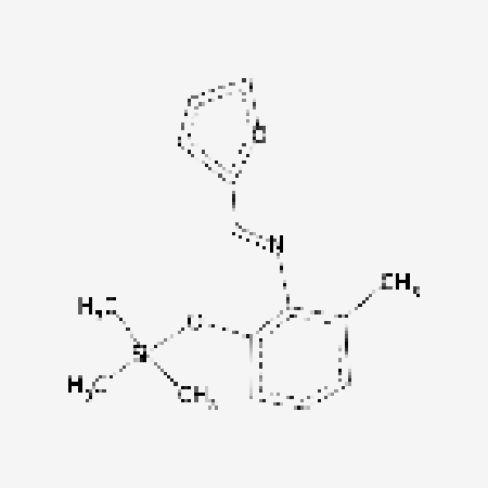 Cc1cccc(O[Si](C)(C)C)c1N=Cc1ccco1